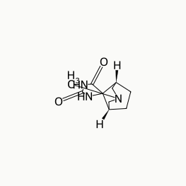 CN1C[C@H]2CC[C@@H](C1)C21NC(=O)NC1=O